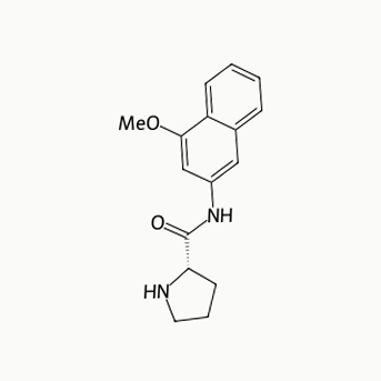 COc1cc(NC(=O)[C@@H]2CCCN2)cc2ccccc12